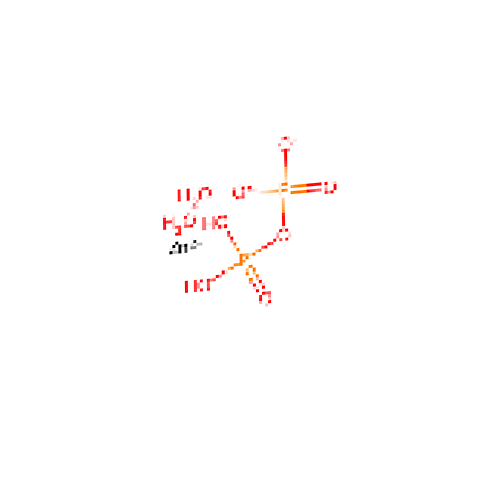 O.O.O=P([O-])([O-])OP(=O)(O)O.[Zn+2]